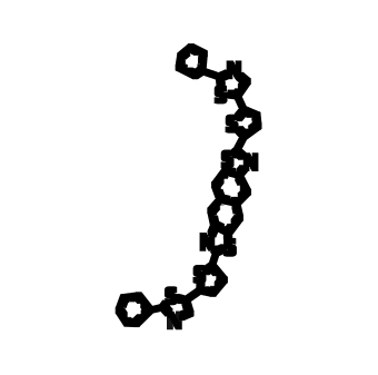 c1ccc(-c2ncc(-c3ccc(-c4nc5cc6cc7sc(-c8ccc(-c9cnc(-c%10ccccc%10)s9)s8)nc7cc6cc5s4)s3)s2)cc1